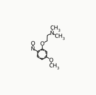 COc1ccc(N=O)c(OCCN(C)C)c1